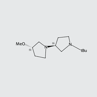 CO[C@H]1CCN([C@H]2CCN(C(C)(C)C)C2)C1